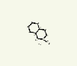 C[S@@]1(F)CCC2CCCCC2C1